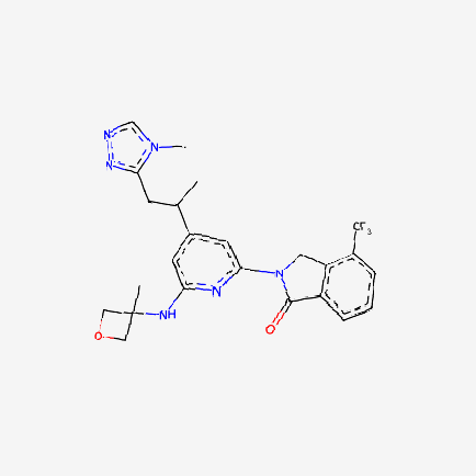 CC(Cc1nncn1C)c1cc(NC2(C)COC2)nc(N2Cc3c(cccc3C(F)(F)F)C2=O)c1